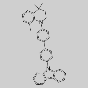 Cc1cccc2c1N(c1ccc(-c3ccc(-n4c5ccccc5c5ccccc54)cc3)cc1)CCC2(C)C